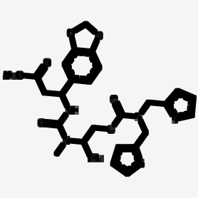 CCCCC(COC(=O)N(Cc1cccs1)Cc1cccs1)N(C)C(=O)NC(CC(=O)OC)c1ccc2c(c1)OCO2